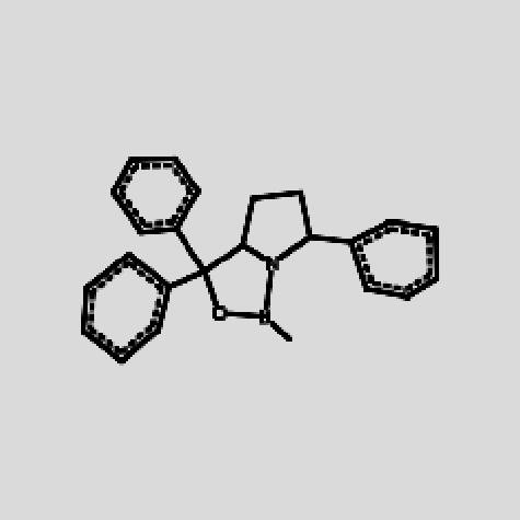 CB1OC(c2ccccc2)(c2ccccc2)C2CCC(c3ccccc3)N12